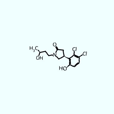 C[C@H](O)CCN1C[C@H](c2c(O)ccc(Cl)c2Cl)CC1=O